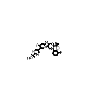 Cc1nc2cc(F)c(-c3cnc(C(C)(C)O)nc3)cn2c1CN1C(=O)C2(CC2)Oc2c(F)cccc21